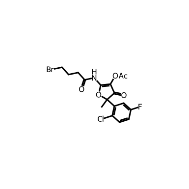 CC(=O)OC1=C(NC(=O)CCCBr)OC(C)(c2cc(F)ccc2Cl)C1=O